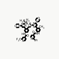 Cc1ccc(NC(=O)c2ccnc(C(C)C)c2)cc1-c1cc(N2CCOCC2)nc(N(C)CCc2ccc(NC(=O)c3ccnc(C(F)(F)F)c3)cc2-c2cc(N3CCOCC3)nc(N(C)C)n2)n1